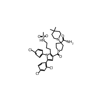 CC1(C)CCN(C2(C(N)=O)CCN(C(=O)c3cc(-c4ccc(Cl)cc4Cl)n(-c4ccc(Cl)cc4)c3CCCNS(C)(=O)=O)CC2)CC1